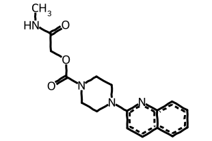 CNC(=O)COC(=O)N1CCN(c2ccc3ccccc3n2)CC1